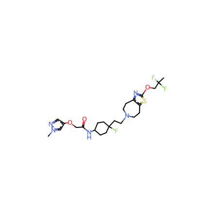 Cn1cc(OCC(=O)NC2CCC(F)(CCN3CCc4nc(OCC(C)(F)F)sc4CC3)CC2)cn1